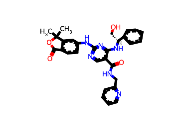 CC1(C)OC(=O)c2ccc(Nc3ncc(C(=O)NCc4ccccn4)c(N[C@H](CO)c4ccccc4)n3)cc21